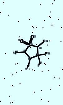 O=S1(=O)C(F)C(F)C(F)(F)C1F